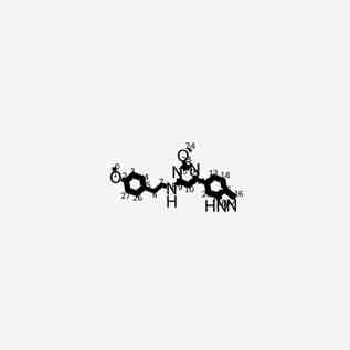 COc1ccc(CCNc2cc(-c3ccc4cn[nH]c4c3)nc(OC)n2)cc1